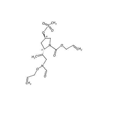 C=CCOC(=O)N1C[C@H](OS(C)(=O)=O)C[C@H]1C(=C)CN(C=O)OCC=C